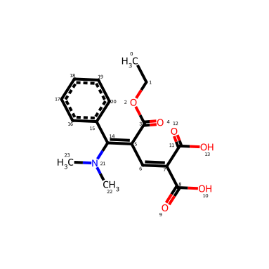 CCOC(=O)/C(C=C(C(=O)O)C(=O)O)=C(\c1ccccc1)N(C)C